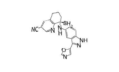 B[C@]1(Nc2ccc3[nH]nc(-c4cnco4)c3c2)CCCc2cc(C#N)cnc21